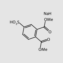 COC(=O)c1ccc(S(=O)(=O)O)cc1C(=O)OC.[NaH]